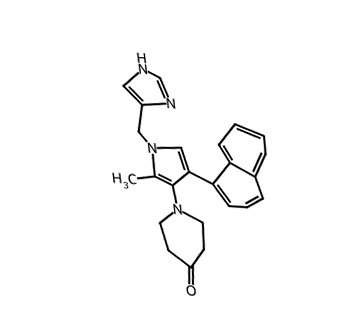 Cc1c(N2CCC(=O)CC2)c(-c2cccc3ccccc23)cn1Cc1c[nH]cn1